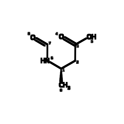 C[C@H](CC(=O)O)NC=O